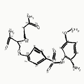 COc1ccc(N)c(NS(=O)(=O)c2ccc(OC(OCC(N)=O)C(N)=O)cc2)c1